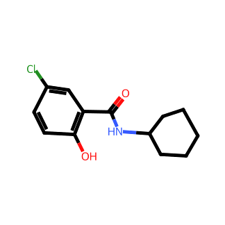 O=C(NC1CCCCC1)c1cc(Cl)ccc1O